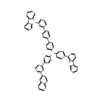 c1cc(-c2ccc(N(c3ccc(-c4ccc(-c5cccc(-n6c7ccccc7c7ccccc76)c5)cc4)cc3)c3ccc(-c4cccc5c4oc4ccccc45)cc3)cc2)cc(-c2ccc3ccccc3c2)c1